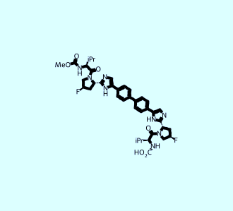 COC(=O)N[C@H](C(=O)N1C[C@H](F)C[C@H]1c1ncc(-c2ccc(-c3ccc(-c4cnc([C@@H]5C[C@@H](F)CN5C(=O)[C@@H](NC(=O)O)C(C)C)[nH]4)cc3)cc2)[nH]1)C(C)C